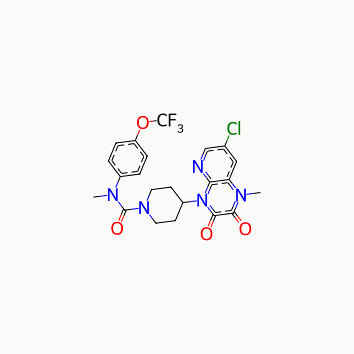 CN(C(=O)N1CCC(n2c(=O)c(=O)n(C)c3cc(Cl)cnc32)CC1)c1ccc(OC(F)(F)F)cc1